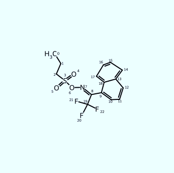 CCCS(=O)(=O)ON=C(c1cccc2ccccc12)C(F)(F)F